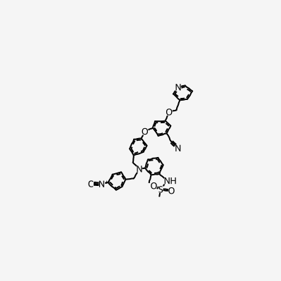 [C-]#[N+]c1ccc(CN(Cc2ccc(Oc3cc(C#N)cc(OCc4cccnc4)c3)cc2)c2cccc(NS(C)(=O)=O)c2C)cc1